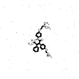 CCC(=C(C(=O)N(C)c1ccc(OCCN(C)C)cc1)c1ccc(OCOC)cc1)c1ccccc1